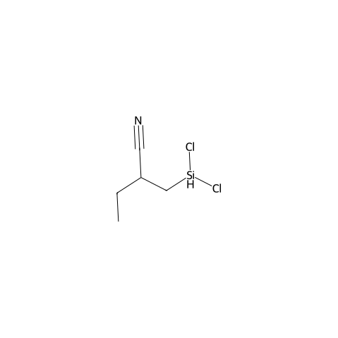 CCC(C#N)C[SiH](Cl)Cl